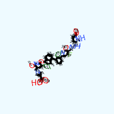 COc1nc(O[C@H]2CCc3c(-c4cccc(-c5cc(F)c(CNC[C@@H]6CCC(=O)N6)c(OC)n5)c4Cl)cccc32)c(Cl)cc1CN1CC(C(=O)O)C1